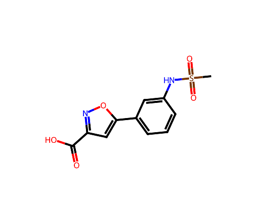 CS(=O)(=O)Nc1cccc(-c2cc(C(=O)O)no2)c1